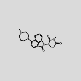 CN1CCCN(c2ccc3c4c(cccc24)N(C2CCC(=O)N(I)C2=O)C3=O)CC1